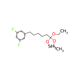 CCOC(CCCCCc1cc(F)cc(F)c1)(O[SiH3])OCC